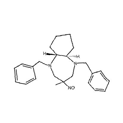 CC1(N=O)CN(Cc2ccccc2)[C@@H]2CCCC[C@H]2N(Cc2ccccc2)C1